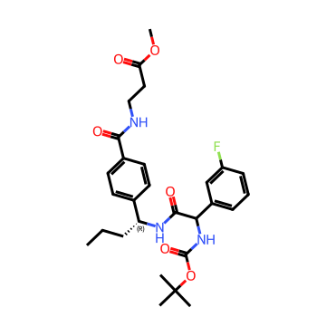 CCC[C@@H](NC(=O)C(NC(=O)OC(C)(C)C)c1cccc(F)c1)c1ccc(C(=O)NCCC(=O)OC)cc1